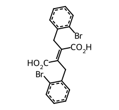 O=C(O)C(Cc1ccccc1Br)=C(Cc1ccccc1Br)C(=O)O